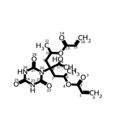 C=CC(=O)OC(C)CC(CC(C)OC(=O)C=C)(C(C)O)n1c(=O)[nH]c(=O)[nH]c1=O